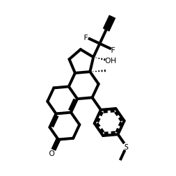 C#CC(F)(F)[C@]1(O)CCC2C3CCC4=CC(=O)CCC4=C3C(c3ccc(SC)cc3)C[C@@]21C